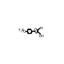 CC(C)c1oc(-c2ccc(OC(F)(F)F)cc2)nc1CO